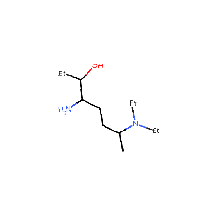 CCC(O)C(N)CCC(C)N(CC)CC